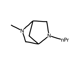 CCCN1CC2CC1CN2C